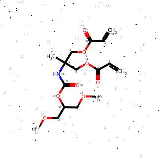 C=CC(=O)OCC(C)(COC(=O)C=C)NC(=O)OC(COCCC)COCCC